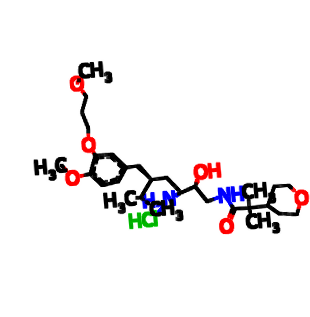 COCCCOc1cc(C[C@@H](C[C@H](N)[C@@H](O)CNC(=O)C(C)(C)C2CCOCC2)C(C)C)ccc1OC.Cl